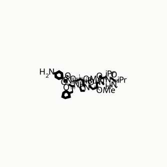 CCC(C)[C@@H]([C@@H](CC(=O)N1CCC[C@H]1[C@H](OC)[C@@H](C)C(=O)N[C@@H](Cc1ccccc1)C(=O)NS(=O)(=O)c1ccc(N)cc1)OC)N(C)C(=O)[C@@H](NC(=O)[C@H](C(C)C)N(C)C)C(C)C